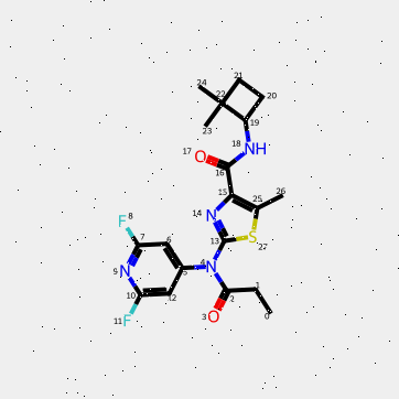 CCC(=O)N(c1cc(F)nc(F)c1)c1nc(C(=O)NC2CCC2(C)C)c(C)s1